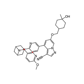 COc1ccc(CN2C3CC2CN(c2ccc(-c4cc(OCC5CCC(C)(O)CC5)cn5ncc(C#N)c45)cn2)C3)cn1